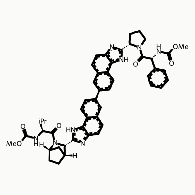 COC(=O)N[C@H](C(=O)N1[C@H]2CC[C@H](C2)[C@H]1c1nc2ccc3cc(-c4ccc5c(ccc6nc([C@@H]7CCCN7C(=O)[C@H](NC(=O)OC)c7ccccc7)[nH]c65)c4)ccc3c2[nH]1)C(C)C